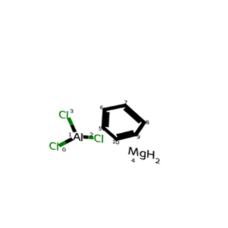 [Cl][Al]([Cl])[Cl].[MgH2].[c]1ccccc1